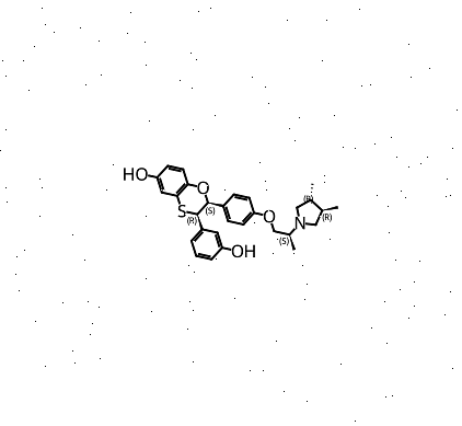 C[C@H]1CN([C@@H](C)COc2ccc([C@@H]3Oc4ccc(O)cc4S[C@@H]3c3cccc(O)c3)cc2)C[C@@H]1C